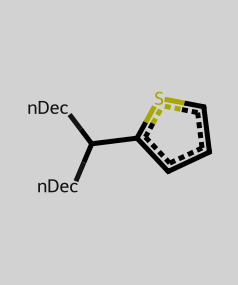 CCCCCCCCCCC(CCCCCCCCCC)c1cccs1